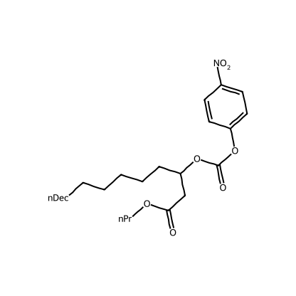 CCCCCCCCCCCCCCCC(CC(=O)OCCC)OC(=O)Oc1ccc([N+](=O)[O-])cc1